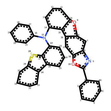 c1ccc(-c2nc3cc4oc5cccc(N(c6ccccc6)c6cccc7c6sc6ccccc67)c5c4cc3o2)cc1